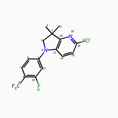 CC1(C)CN(c2ccc(C(F)(F)F)c(F)c2)c2ccc(Cl)nc21